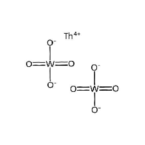 [O]=[W](=[O])([O-])[O-].[O]=[W](=[O])([O-])[O-].[Th+4]